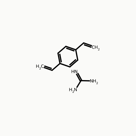 C=Cc1ccc(C=C)cc1.N=C(N)N